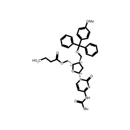 COc1ccc(C(OC[C@H]2C[C@H](n3ccc(NC(=O)C(C)(C)C)nc3=O)O[C@@H]2COC(=O)CCC(=O)O)(c2ccccc2)c2ccccc2)cc1